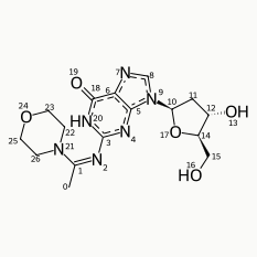 CC(=Nc1nc2c(ncn2[C@H]2C[C@H](O)[C@@H](CO)O2)c(=O)[nH]1)N1CCOCC1